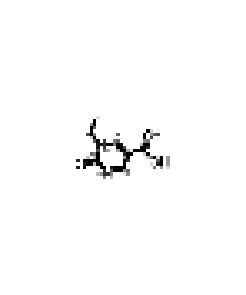 CCn1cc(C(=O)O)cnc1=O